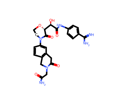 N=C(N)c1ccc(NC(=O)[C@H](O)[C@H]2OCCN(c3ccc4c(c3)CC(=O)N(CC(N)=O)C4)C2=O)cc1